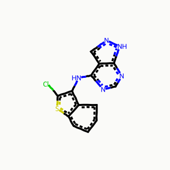 Clc1sc2ccccc2c1Nc1ncnc2[nH]ncc12